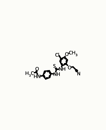 COc1cc(OCC#N)c(NC(=S)Nc2ccc(NC(C)=O)cc2)cc1Cl